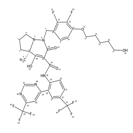 C[C@]12CCCN1N(Cc1ccc(OCCCCCO)c(F)c1F)C(=O)C(C(=O)Nc1ccc(C(F)(F)F)cc1-c1cc(C(F)(F)F)ncn1)=C2O